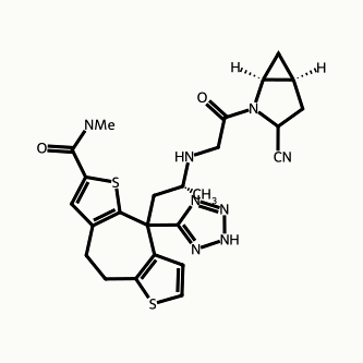 CNC(=O)c1cc2c(s1)C(C[C@@H](C)NCC(=O)N1C(C#N)C[C@@H]3C[C@@H]31)(c1nn[nH]n1)c1ccsc1CC2